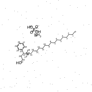 CCCCCCCCCCCCCCCC[N+](C)(C)C(CCO)c1ccccc1.N.O=P([O-])(O)O